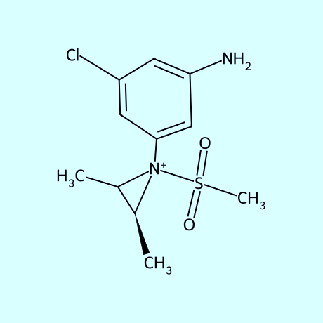 CC1[C@H](C)[N+]1(c1cc(N)cc(Cl)c1)S(C)(=O)=O